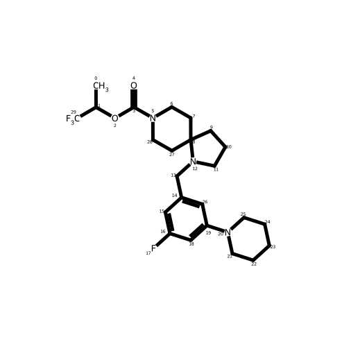 CC(OC(=O)N1CCC2(CCCN2Cc2cc(F)cc(N3CCCCC3)c2)CC1)C(F)(F)F